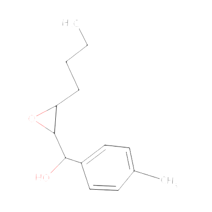 CCCCC1OC1C(O)c1ccc(C)cc1